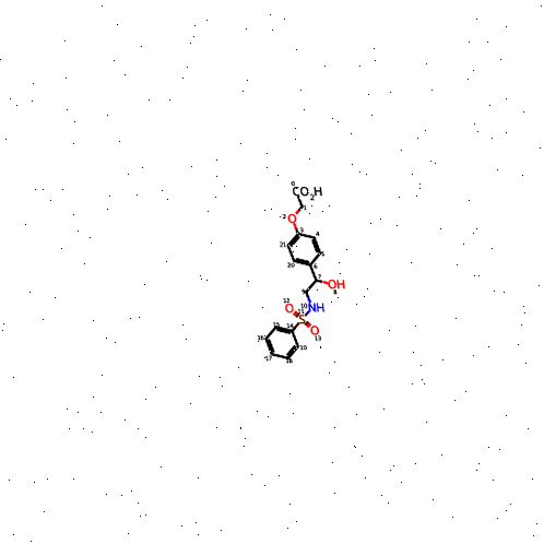 O=C(O)COc1ccc(C(O)CNS(=O)(=O)c2ccccc2)cc1